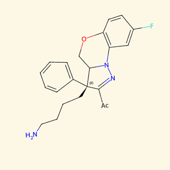 CC(=O)C1=NN2c3cc(F)ccc3OCC2[C@@]1(CCCCN)c1ccccc1